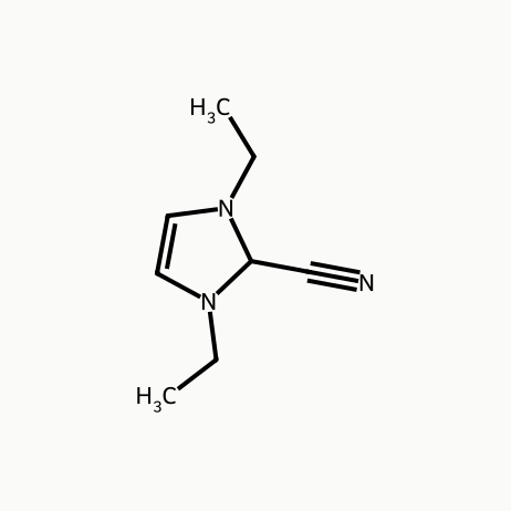 CCN1C=CN(CC)C1C#N